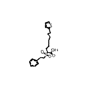 O=C(O)C(CCCCCCc1cccs1)S(=O)(=O)CCc1ccccc1